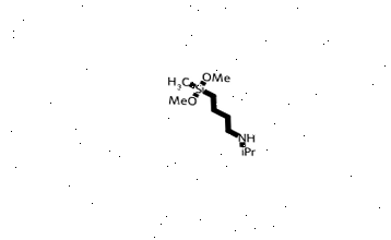 CO[Si](C)(CCCCNC(C)C)OC